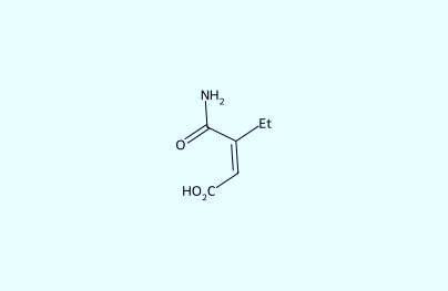 CC/C(=C/C(=O)O)C(N)=O